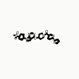 CS(=O)(=O)c1ccc(-n2ncc3c(OC4CCN(C(=O)c5ccc(-n6cccn6)nc5)CC4)ncnc32)cc1